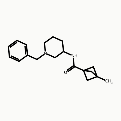 CC12CC(C(=O)NC3CCCN(Cc4ccccc4)C3)(C1)C2